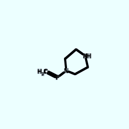 C=PN1CCNCC1